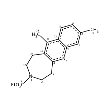 CCOC(=O)N1CCc2nc3cc(C)ccc3c(C)c2CC1